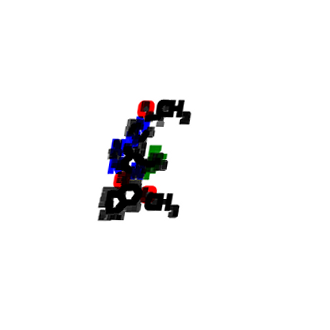 C=CC(=O)N1CCN(c2ncnc3c(Oc4cc(OC)cc5ccccc45)nc(C(F)(F)F)cc23)CC1